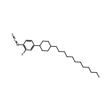 CCCCCCCCCCCCC1CCC(c2ccc(N=C=S)c(F)c2)CC1